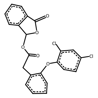 O=C(Cc1ccccc1Oc1ccc(Cl)cc1Cl)OC1OC(=O)c2ccccc21